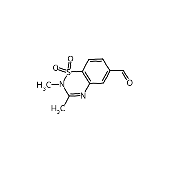 CC1=Nc2cc(C=O)ccc2S(=O)(=O)N1C